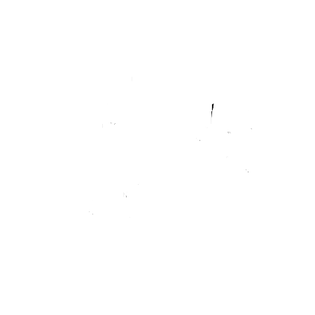 CCS(=O)(=O)Nc1cc(C(=O)N[C@@H](Cc2ccccc2)[C@H](O)[C@H]2CCCN2)cc(C(=O)N(C)Cc2nc(C)cs2)c1